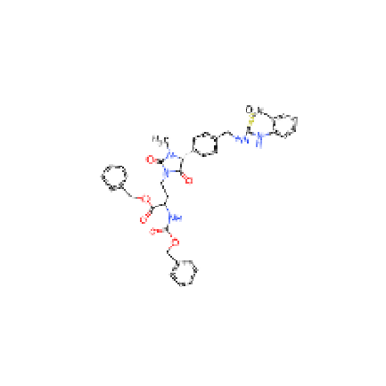 CN1C(=O)N(CCC(NC(=O)OCc2ccccc2)C(=O)OCc2ccccc2)C(=O)[C@H]1c1ccc(CNC(=S)Nc2ccccc2[N+](=O)[O-])cc1